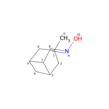 CC1CC2CC(C1)C2C=NO